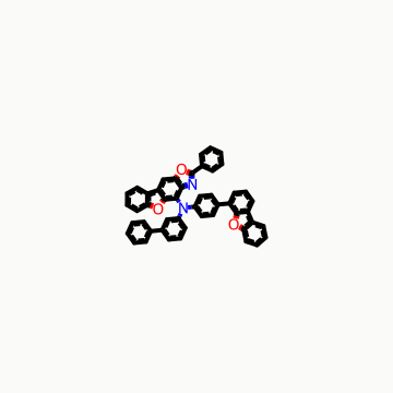 c1ccc(-c2cccc(N(c3ccc(-c4cccc5c4oc4ccccc45)cc3)c3c4nc(-c5ccccc5)oc4cc4c3oc3ccccc34)c2)cc1